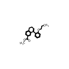 CCCOc1ccccc1C1=CCCc2ccc(C(=O)OC)cc21